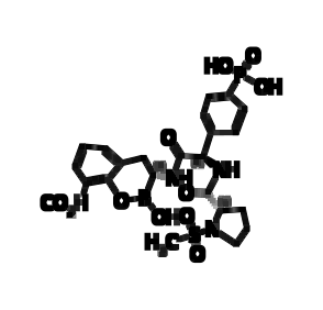 CS(=O)(=O)N1CCC[C@H]1C(=O)N[C@@H](C(=O)N[C@H]1Cc2cccc(C(=O)O)c2OB1O)c1ccc(P(=O)(O)O)cc1